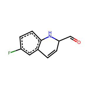 O=CC1C=Cc2cc(F)ccc2N1